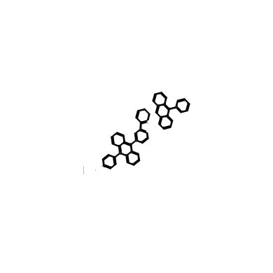 FC(F)(F)c1ccc(-c2c3ccccc3c(-c3ccc4oc5c(c4c3)C=CC[C@@H]5c3c4ccccc4c(-c4ccccc4)c4ccccc34)c3ccccc23)cc1